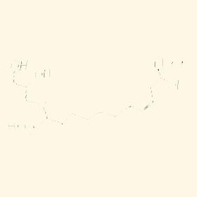 CCCCCC[C@@H](O)C/C=C\CCCCCCC(OCC(O)CO)C(=O)O